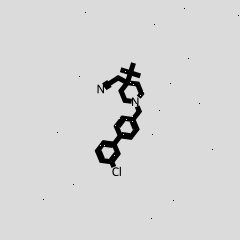 CC(C)(C)C1(CC#N)CCN(Cc2ccc(-c3cccc(Cl)c3)cc2)CC1